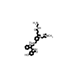 Cn1cnc(Cn2cc(C=CC(=O)NCCN)c3ccc(CNCc4[nH]c5ccccc5c4C4NC(=O)c5ccc(O)cc54)cc32)c1